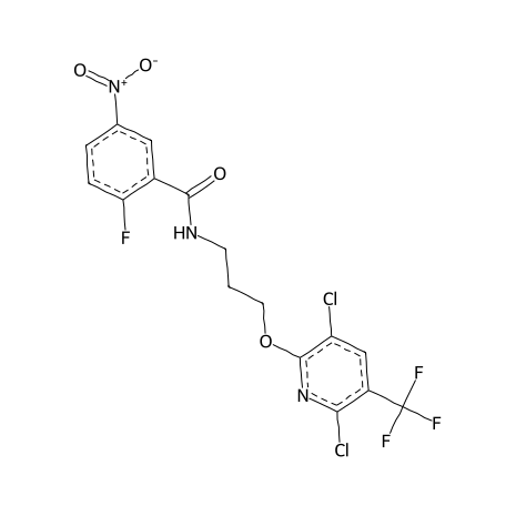 O=C(NCCCOc1nc(Cl)c(C(F)(F)F)cc1Cl)c1cc([N+](=O)[O-])ccc1F